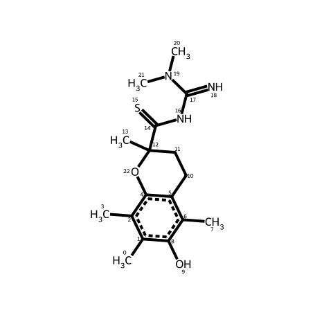 Cc1c(C)c2c(c(C)c1O)CCC(C)(C(=S)NC(=N)N(C)C)O2